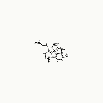 COCCCC[C@@](O)(c1cccc(Cl)c1F)C1CCCNC1.Cl